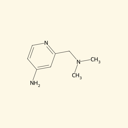 CN(C)Cc1cc(N)ccn1